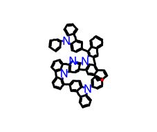 c1ccc(-n2c3ccccc3c3cc(-c4cccc5c6cccc7c8nc9c(cc8n(c45)c67)c4cc5ccccc5c5c6cc7ccccc7c(-c7ccc8c(c7)c7ccccc7n8-c7ccccc7)c6n9c45)ccc32)cc1